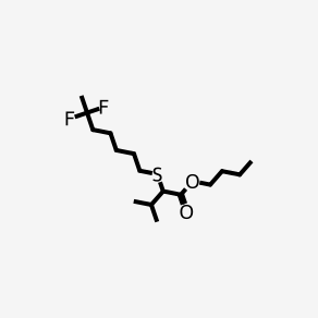 CCCCOC(=O)C(SCCCCCC(C)(F)F)C(C)C